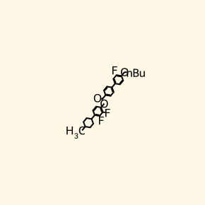 CCCCOc1ccc(-c2ccc(C(=O)Oc3ccc(C4CCC(C)CC4)c(F)c3F)cc2)cc1F